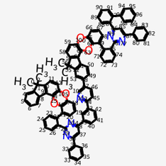 CC1(C)c2ccccc2-c2c1ccc1c2Oc2c(cccc2-c2ccccc2-c2nc(-c3ccccc3)cc(-c3cccc(-c4ccc(-c5ccc6c(c5)C(C)(C)c5ccc7c(c5-6)Oc5c(cccc5-c5ccccc5-c5nc(-c6ccccc6)cc(-c6ccccc6-c6ccccc6)n5)O7)cn4)c3)n2)O1